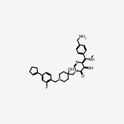 CN/C(=C1/N=CN(CC2(O)CCN(Cc3ccc(C4=CCCC4)cc3F)CC2)C(=O)C1=N)c1ccc(CN)cc1